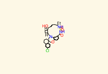 CCC1C/C=C/[C@H](O)[C@@H]2CC[C@H]2CN2C[C@@]3(CCCc4cc(Cl)ccc43)COc3ccc(cc32)C(=O)NS(=O)(=O)N1